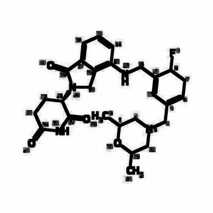 CC1CN(CC2=CCC(F)C(CNc3cccc4c3CN([C@@H]3CCC(=O)NC3=O)C4=O)=C2)CC(C)O1